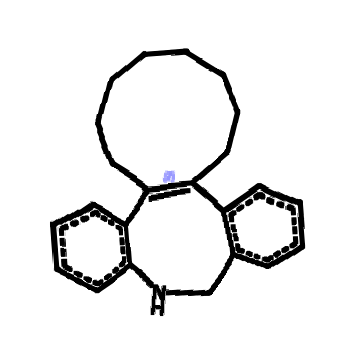 c1ccc2c(c1)CNc1ccccc1/C1=C\2CCCCCCCC1